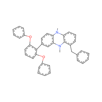 CN1c2ccc(-c3c(Oc4ccccc4)cccc3Oc3ccccc3)cc2N(C)c2c(Cc3ccccc3)cccc21